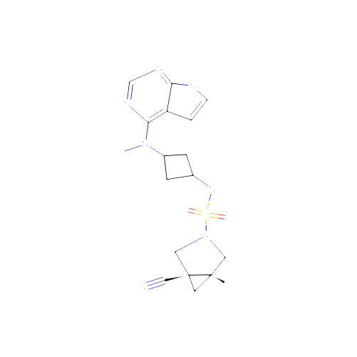 CN(c1ncnc2[nH]ccc12)C1CC(NS(=O)(=O)N2C[C@@H]3C[C@]3(C#N)C2)C1